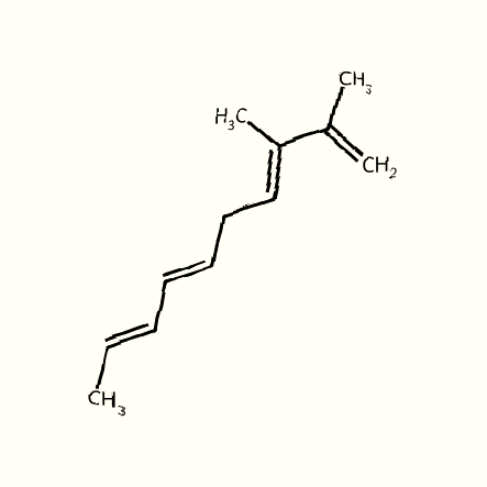 C=C(C)C(C)=CCC=CC=CC